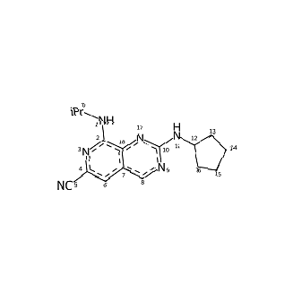 CC(C)Nc1nc(C#N)cc2cnc(NC3CCCC3)nc12